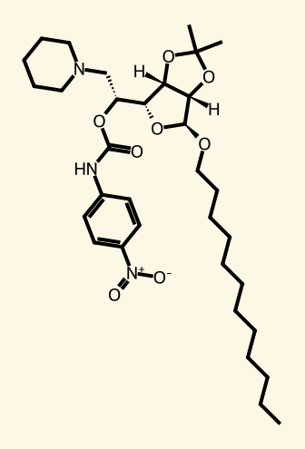 CCCCCCCCCCCCO[C@H]1O[C@H]([C@@H](CN2CCCCC2)OC(=O)Nc2ccc([N+](=O)[O-])cc2)[C@@H]2OC(C)(C)O[C@H]12